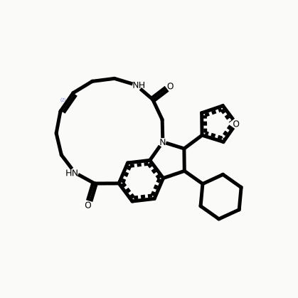 O=C1CN2c3cc(ccc3C(C3CCCCC3)C2c2ccoc2)C(=O)NCC/C=C\CCN1